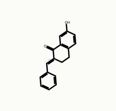 O=C1/C(=C/c2ccccc2)CCc2ccc(O)cc21